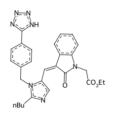 CCCCc1ncc(C=C2C(=O)N(CC(=O)OCC)c3ccccc32)n1Cc1ccc(-c2nnn[nH]2)cc1